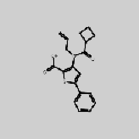 C=CCN(C(=O)C1CCC1)c1cc(-c2ccccc2)sc1C(=O)O